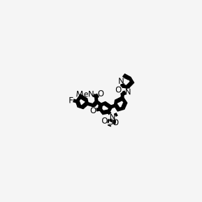 CNC(=O)c1c(-c2ccc(F)cc2)oc2cc(N(C)S(C)(=O)=O)c(-c3cccc(-c4nc5cccnc5o4)c3)cc12